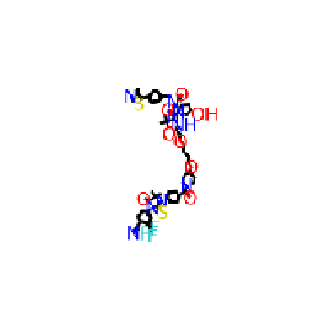 Cc1ncsc1-c1ccc(CNC(=O)[C@@H]2C[C@@H](O)CN2C(=O)[C@@H](NC(=O)COCCCCOC2CCN(C(=O)c3ccc(N4C(=S)N(c5ccc(C#N)c(C(F)(F)F)c5)C(=O)C4(C)C)cc3)CC2)C(C)(C)C)cc1